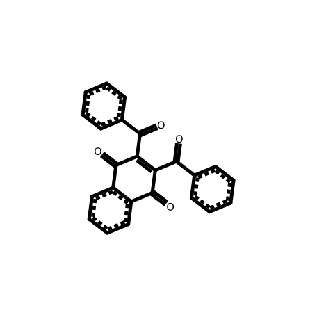 O=C(C1=C(C(=O)c2ccccc2)C(=O)c2ccccc2C1=O)c1ccccc1